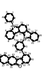 c1ccc(-n2c3ccccc3c3c2ccc2c4ccccc4n(-c4cccc(-c5cccc6oc7cc8ccccc8cc7c56)c4)c23)cc1